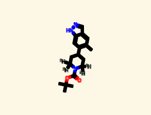 [2H]C1([2H])CC(c2cc3[nH]ncc3cc2C)CC([2H])([2H])N1C(=O)OC(C)(C)C